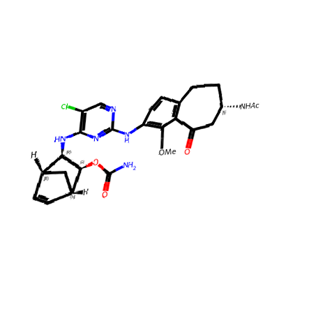 COc1c(Nc2ncc(Cl)c(N[C@H]3[C@@H](OC(N)=O)[C@@H]4C=C[C@H]3C4)n2)ccc2c1C(=O)C[C@@H](NC(C)=O)CC2